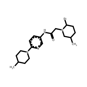 CCC1CCC(C)CN1CC(=O)Nc1ccc(N2CCC(C)CC2)nc1